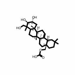 CC1(C)CC[C@]2(COC(=O)O)CC[C@]3(C)C(=CC[C@@H]4[C@@]5(C)C[C@@H](O)[C@H](O)C(C)(CO)C5CC[C@]43C)[C@H]2C1